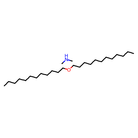 CCCCCCCCCCCCOCCCCCCCCCCCC.CNC